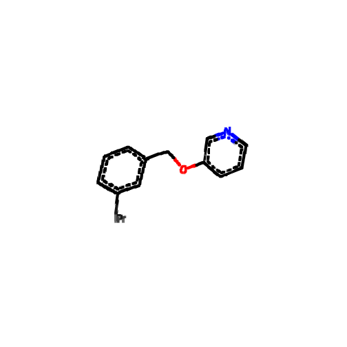 CC(C)c1cccc(COc2cccnc2)c1